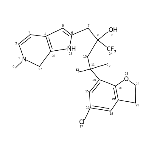 CN1C=Cc2cc(CC(O)(CC(C)(C)c3cc(Cl)cc4c3OCC4)C(F)(F)F)[nH]c2C1